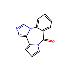 O=c1c2ccccc2n2cncc2c2cccn12